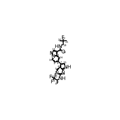 CC(Nc1ncc2c(-c3ccn4ncc(C(=O)NCC(C)(C)F)c4c3)c[nH]c2n1)C(F)(F)F